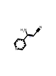 N#C/C=C(\N)c1ccncc1